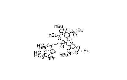 CCCCC(=O)Oc1cc(OC(=O)CCCC)c2c(c1)O[C@H](c1cc(OC(=O)CCCC)c(OC(=O)CCCC)c(OC(=O)CCCC)c1)[C@H](OC(=O)CCCC(C(=O)O)c1cccc(C(CCC)C(=O)O)c1C(CCC)C(=O)O)C2